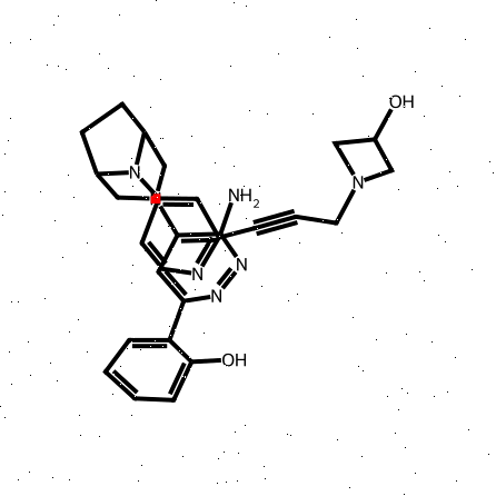 Nc1nnc(-c2ccccc2O)cc1N1CC2CCC(C1)N2c1ccnc(C#CCN2CC(O)C2)c1